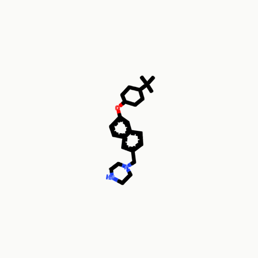 CC(C)(C)C1CCC(Oc2ccc3cc(CN4C[CH]NCC4)ccc3c2)CC1